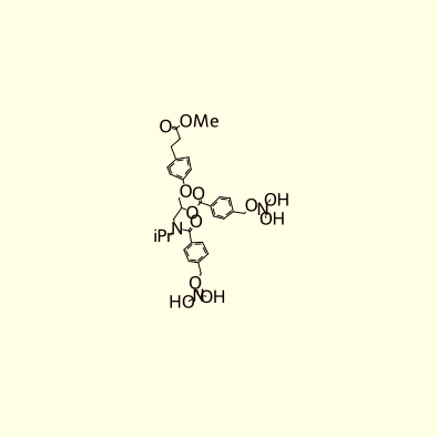 COC(=O)CCc1ccc(OCC(CN(C(=O)c2ccc(CON(O)O)cc2)C(C)C)OC(=O)c2ccc(CON(O)O)cc2)cc1